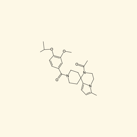 COc1cc(C(=O)N2CCC3(CC2)c2ccc(C)n2CCN3C(C)=O)ccc1OC(C)C